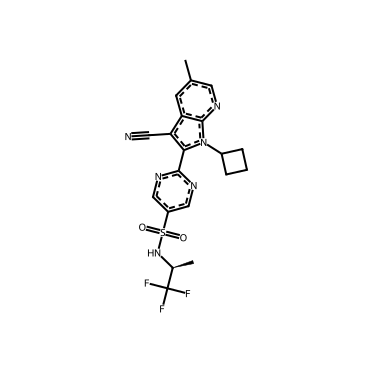 Cc1cnc2c(c1)c(C#N)c(-c1ncc(S(=O)(=O)N[C@@H](C)C(F)(F)F)cn1)n2C1CCC1